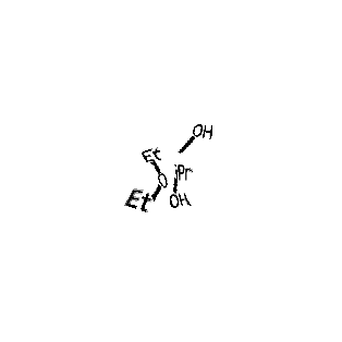 CC(C)O.CCOCC.CO